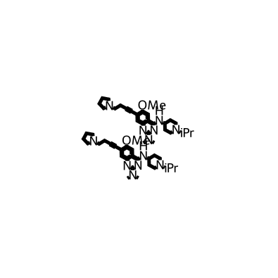 COc1cc2c(NC3CCN(C(C)C)CC3)nc(N(C)C)nc2cc1C#CCCN1CCCC1.COc1cc2c(NC3CCN(C(C)C)CC3)nc(N(C)C)nc2cc1C#CCCN1CCCC1